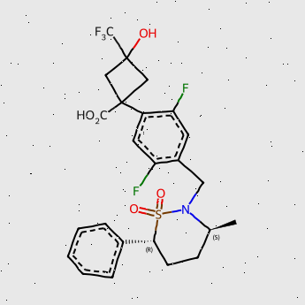 C[C@H]1CC[C@H](c2ccccc2)S(=O)(=O)N1Cc1cc(F)c(C2(C(=O)O)CC(O)(C(F)(F)F)C2)cc1F